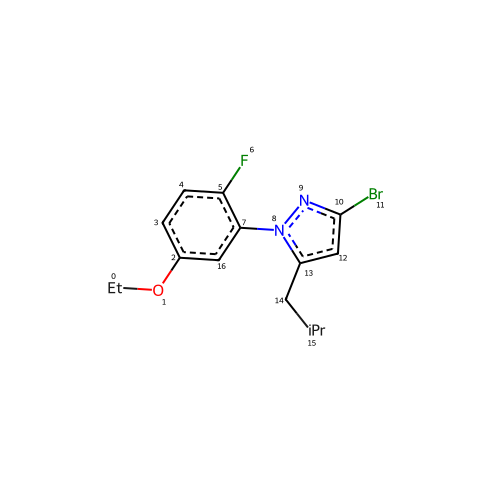 CCOc1ccc(F)c(-n2nc(Br)cc2CC(C)C)c1